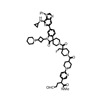 CNC(=O)C(CCC=O)c1ccc(N2CCC(C(=O)N3CCC(CF)(C(=O)N4CCC5(CC4)C(=O)N(C4CC(N6CCCCC6)C4)c4cc(-c6cc7ncn(C(C)C)c7c(NC7CC7)n6)ccc45)CC3)CC2)nc1